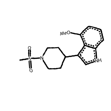 COc1cccc2[nH]cc(C3CCN(S(C)(=O)=O)CC3)c12